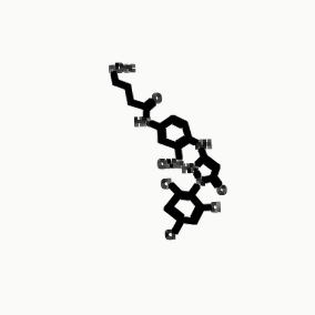 CCCCCCCCCCCCCC(=O)Nc1ccc(Nc2cc(=O)n(-c3c(Cl)cc(Cl)cc3Cl)[nH]2)c(OC)c1